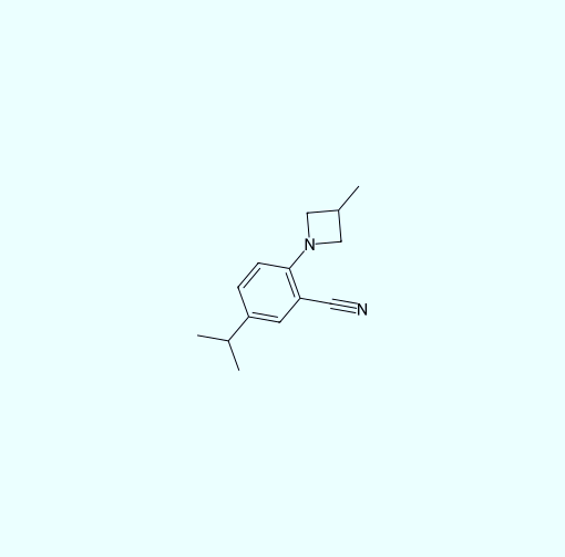 CC1CN(c2ccc(C(C)C)cc2C#N)C1